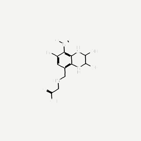 O=C(O)CNCc1cc(Br)c([N+](=O)[O-])c2c1NC(O)C(O)N2